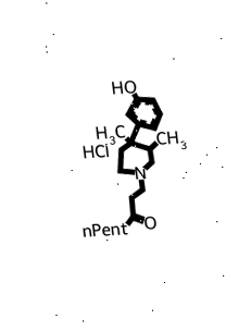 CCCCCC(=O)CCN1CCC(C)(c2cccc(O)c2)C(C)C1.Cl